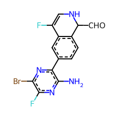 Nc1nc(F)c(Br)nc1-c1ccc2c(c1)C(F)=CNC2C=O